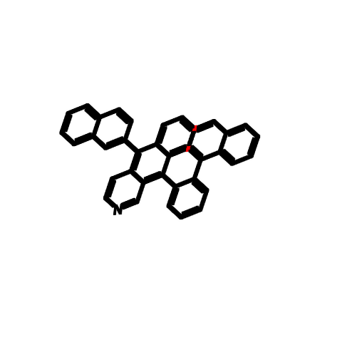 c1ccc(-c2c3ccccc3c(-c3ccc4ccccc4c3)c3ccncc23)c(-c2cccc3ccccc23)c1